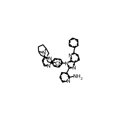 N#Cc1nccc(N2C3CCC2CN(Cc2ccc(-n4c(-c5cccnc5N)nc5ccc(-c6ccccc6)nc54)cc2)C3)n1